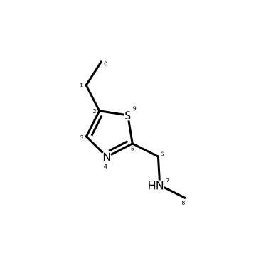 CCc1cnc(CNC)s1